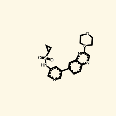 O=S(=O)(Nc1cncc(-c2ccc3ncc(N4CCOCC4)nc3c2)c1)C1CC1